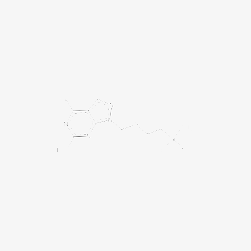 Cc1nc(Cl)c2cnn(COCC[Si](C)(C)C)c2n1